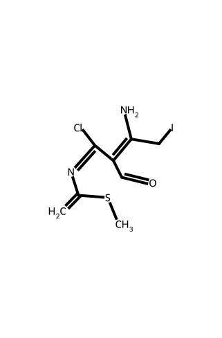 C=C(/N=C(Cl)\C(C=O)=C(/N)CI)SC